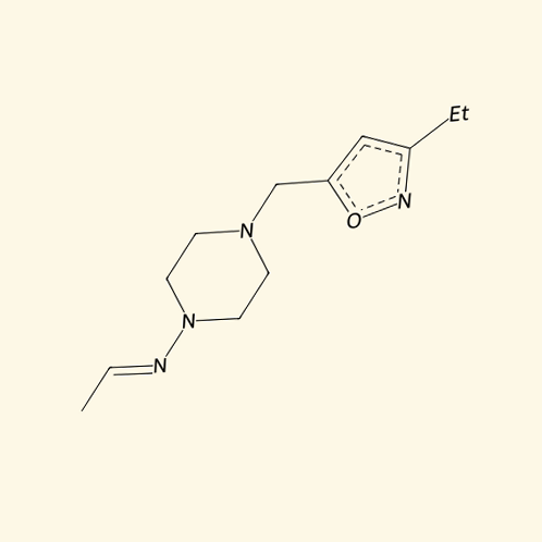 C/C=N/N1CCN(Cc2cc(CC)no2)CC1